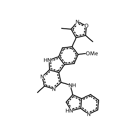 COc1cc2c(cc1-c1c(C)noc1C)[nH]c1nc(C)nc(Nc3c[nH]c4ncccc34)c12